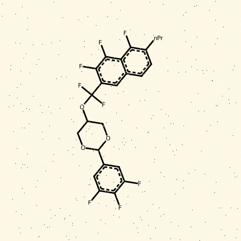 CCCc1ccc2cc(C(F)(F)OC3COC(c4cc(F)c(F)c(F)c4)OC3)c(F)c(F)c2c1F